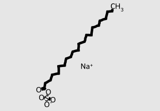 CCCCCCCCCCCCCCCCCCCCCC(=O)OS(=O)(=O)[O-].[Na+]